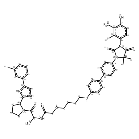 CC(C)(C)C(NC(=O)COCCCCOc1ccc(-c2ccc(N3C(=S)N(c4ccc(C#N)c(C(F)(F)F)c4F)C(=O)C3(C)C)cn2)cc1)C(=O)N1CCCC1c1nc(-c2cccc(F)c2)c[nH]1